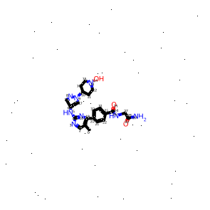 Cc1cnc(Nc2cnn(C3CCN(O)CC3)c2)nc1-c1ccc(C(=O)NCC(N)=O)cc1